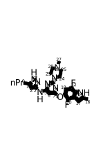 CCCc1cc(Nc2cc(Oc3cc(F)c4[nH]c(C)cc4c3F)nc(N3CCN(C)CC3)n2)n[nH]1